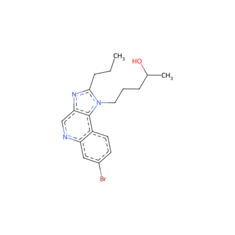 CCCc1nc2cnc3cc(Br)ccc3c2n1CCCC(C)O